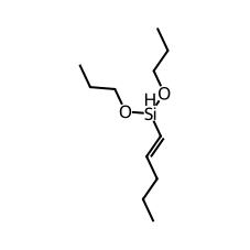 CCCC=C[SiH](OCCC)OCCC